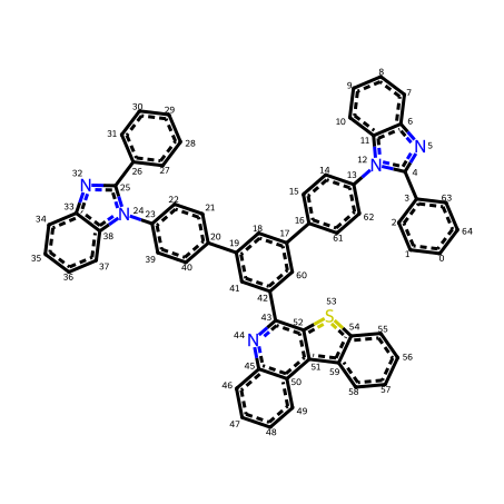 c1ccc(-c2nc3ccccc3n2-c2ccc(-c3cc(-c4ccc(-n5c(-c6ccccc6)nc6ccccc65)cc4)cc(-c4nc5ccccc5c5c4sc4ccccc45)c3)cc2)cc1